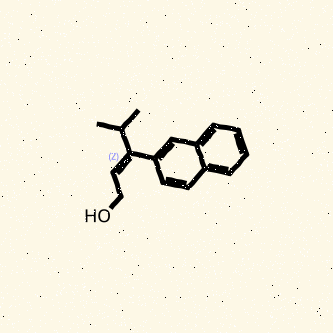 CC(C)/C(=C/CO)c1ccc2ccccc2c1